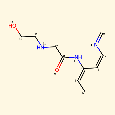 C=N/C=C\C(=C/C)NC(=O)CNCCO